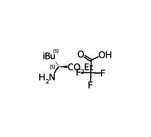 CCOC(=O)[C@@H](N)[C@@H](C)CC.O=C(O)C(F)(F)F